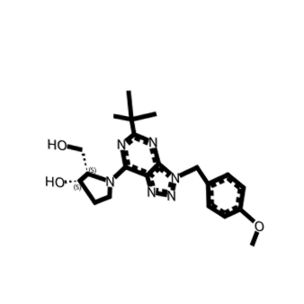 COc1ccc(Cn2nnc3c(N4CC[C@H](O)[C@@H]4CO)nc(C(C)(C)C)nc32)cc1